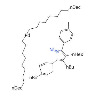 CCCCCCC1=C(c2ccc(C)cc2)[N+](=[N-])C(c2ccc(CCCC)cc2)=C1CCCC.CCCCCCCCCCCCCCCCC[CH2][Pd][CH2]CCCCCCCCCCCCCCCCC